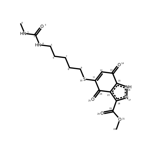 CNC(=O)NCCCCCSC1=CC(=O)c2[nH]nc(C(=O)OC)c2C1=O